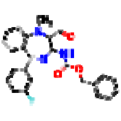 CN1c2ccccc2C(c2cccc(F)c2)=NC(NC(=O)OCc2ccccc2)C1C=O